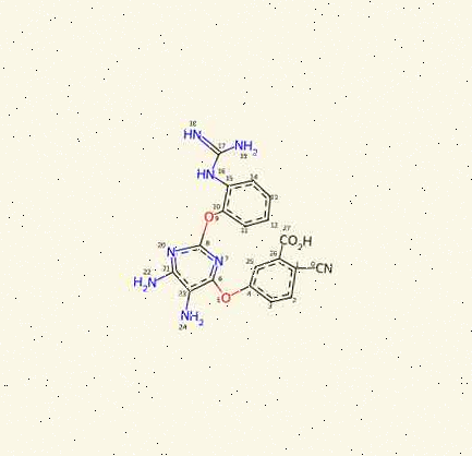 N#Cc1ccc(Oc2nc(Oc3ccccc3NC(=N)N)nc(N)c2N)cc1C(=O)O